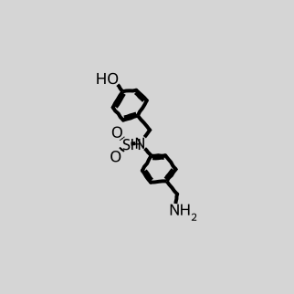 NCc1ccc(N(Cc2ccc(O)cc2)[SH](=O)=O)cc1